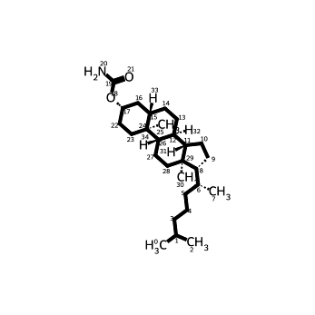 CC(C)CCC[C@@H](C)[C@H]1CC[C@H]2[C@@H]3CC[C@H]4C[C@@H](OC(N)=O)CC[C@]4(C)[C@H]3CC[C@]12C